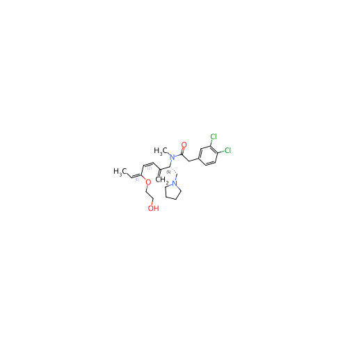 C=C(/C=C\C(=C/C)OCCO)[C@@H](CN1CCCC1)N(C)C(=O)Cc1ccc(Cl)c(Cl)c1